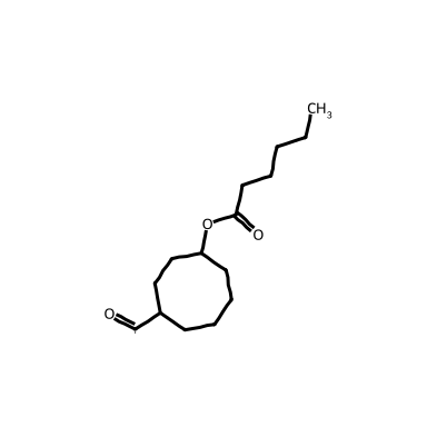 CCCCCC(=O)OC1CCCCC([C]=O)CC1